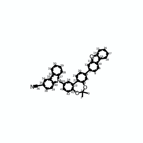 CC1(C)Oc2cc(-c3ccc4c(c3)oc3ccccc34)ccc2-c2cc(-n3c4ccccc4c4cc(C#N)ccc43)ccc2O1